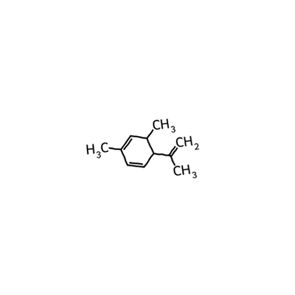 C=C(C)C1C=CC(C)=CC1C